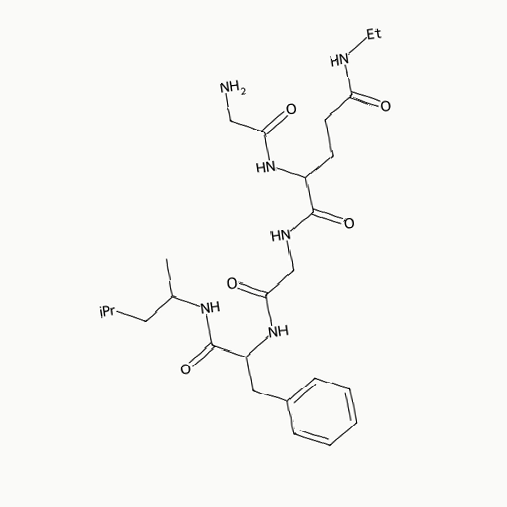 CCNC(=O)CCC(NC(=O)CN)C(=O)NCC(=O)NC(Cc1ccccc1)C(=O)NC(C)CC(C)C